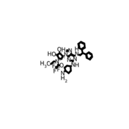 CCCN(C(=O)C(F)(F)F)[C@H]1C[C@@H](n2cnc3c(NCC(c4ccccc4)c4ccccc4)nc(NC4CCC(N)CC4)nc32)[C@H](O)[C@@H]1O